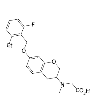 CCc1cccc(F)c1COc1ccc2c(c1)OCC(N(C)CC(=O)O)C2